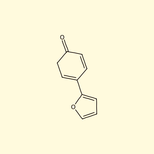 O=C1C=CC(c2ccco2)=CC1